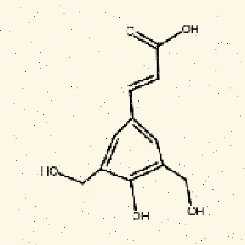 O=C(O)/C=C/c1cc(CO)c(O)c(CO)c1